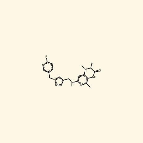 Cc1nc(NCc2cnn(Cc3ccc(F)nc3)c2)cc2c1NC(=O)[C@H](C)N2C